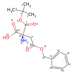 CC(C)(C)OC(=O)[C@](N)(CC(=O)OCc1ccccc1)C(=O)O